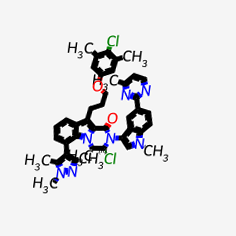 Cc1ccnc(-c2ccc3c(c2)c(N2C(=O)c4c(CCCOc5cc(C)c(Cl)c(C)c5)c5cccc(-c6c(C)nn(C)c6C)c5n4C(C)[C@H]2Cl)cn3C)n1